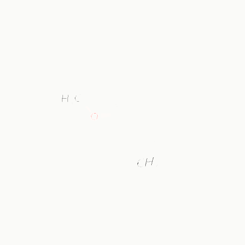 CO[C@@H]1CCCC[C@@H]1C